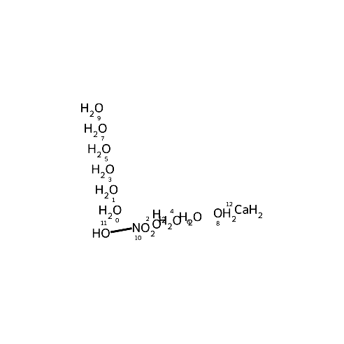 O.O.O.O.O.O.O.O.O.O.O=[N+]([O-])O.[CaH2]